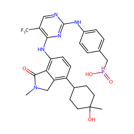 CN1Cc2c(C3CCC(C)(O)CC3)ccc(Nc3nc(Nc4ccc(C[PH](=O)O)cc4)ncc3C(F)(F)F)c2C1=O